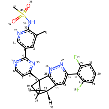 Cc1cc(-c2nccc([C@@]34CC[C@@H](c5cc(-c6c(F)cccc6F)nnc53)C4(C)C)n2)cnc1NS(C)(=O)=O